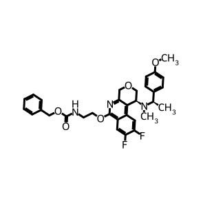 COc1ccc([C@@H](C)N(C)[C@@H]2COCc3nc(OCCNC(=O)OCc4ccccc4)c4cc(F)c(F)cc4c32)cc1